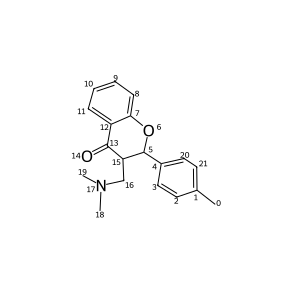 Cc1ccc(C2Oc3ccccc3C(=O)C2CN(C)C)cc1